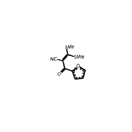 CSC(SC)=C(C#N)C(=O)c1ccco1